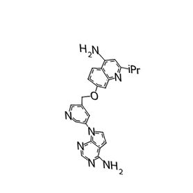 CC(C)c1cc(N)c2ccc(OCc3cncc(-n4ccc5c(N)ncnc54)c3)cc2n1